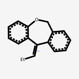 CC/C=C1/c2ccccc2COc2ccccc21